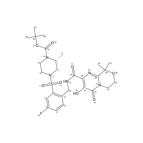 C[C@@H]1CN(S(=O)(=O)c2cc(F)ccc2CNC(=O)c2nc3n(c(=O)c2O)CCOC3(C)C)CCN1C(=O)OC(C)(C)C